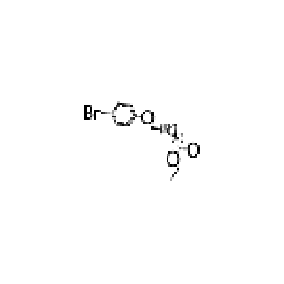 CCOC(=O)[C@H]1C[C@@H]1COc1ccc(Br)cc1